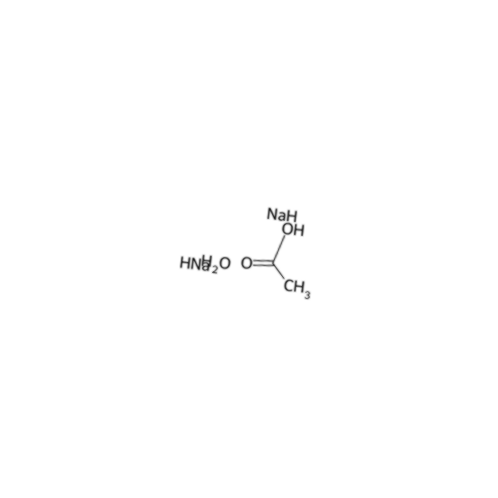 CC(=O)O.O.[NaH].[NaH]